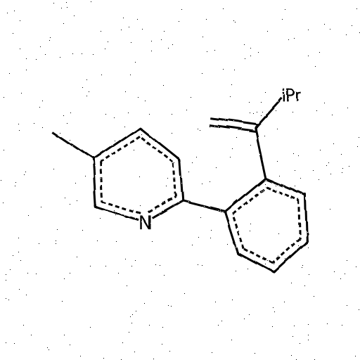 C=C(c1ccccc1-c1ccc(C)cn1)C(C)C